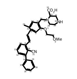 COCCOc1cc(/C=C/c2cccc(-c3ccccc3)c2C#N)c(C)cc1CN1CCNCC1C(=O)O